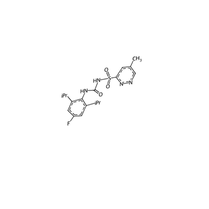 Cc1cnnc(S(=O)(=O)NC(=O)Nc2c(C(C)C)cc(F)cc2C(C)C)c1